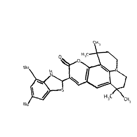 CC(C)(C)c1cc2c(c(C(C)(C)C)c1)NC(c1cc3cc4c5c(c3oc1=O)C(C)(C)CCN5CCC4(C)C)S2